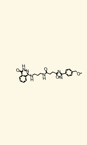 COCc1ccc(-c2noc(CCC(=O)NCCCNc3n[nH]c(=O)c4ccccc34)n2)cc1